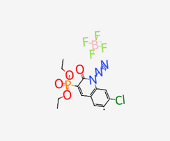 CCOP(=O)(OCC)c1cc2c[c]c(Cl)cc2n([N+]#N)c1=O.F[B-](F)(F)F